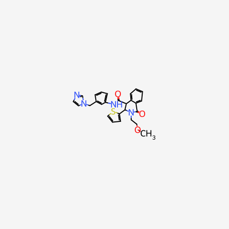 COCCN1C(=O)c2ccccc2C(C(=O)Nc2cccc(Cn3ccnc3)c2)C1c1cccs1